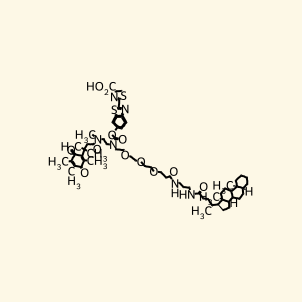 CC1=C(C)C(=O)C(C(C)(C)CC(=O)N(C)CCN(CCOCCOCCOCCC(=O)NCCCNC(=O)CC[C@H](C)[C@@H]2CCC3[C@H]4CC[C@H]5CCCC[C@@]5(C)C4CC[C@]32C)C(=O)Oc2ccc3nc(C4=NC(C(=O)O)CS4)sc3c2)=C(C)C1=O